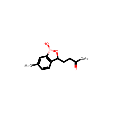 COC(=O)CCC1OB(O)c2cc(OC)ccc21